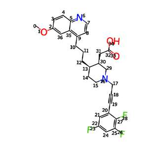 COc1ccc2nccc(CCC[C@@H]3CCN(CC#Cc4cc(F)cc(F)c4F)C[C@@H]3CC(=O)O)c2c1